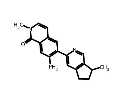 CC1CCc2cc(-c3cc4ccn(C)c(=O)c4cc3P)ncc21